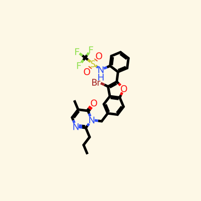 CCCc1ncc(C)c(=O)n1Cc1ccc2oc(-c3ccccc3NS(=O)(=O)C(F)(F)F)c(Br)c2c1